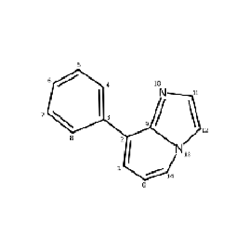 [c]1cc(-c2ccccc2)c2nccn2c1